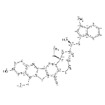 CCc1c2c(nc3ccc(O)cc13)-c1cc3c(c(=O)n1C2)COC(=O)[C@@]3(CC)OC(=O)[C@@H](N)Cc1cn(C)c2ccccc12